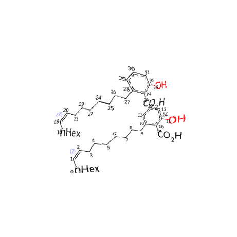 CCCCCC/C=C\CCCCCCCc1cccc(O)c1C(=O)O.CCCCCC/C=C\CCCCCCCc1cccc(O)c1C(=O)O